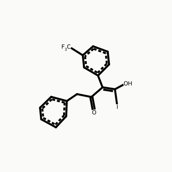 O=C(Cc1ccccc1)C(=C(O)I)c1cccc(C(F)(F)F)c1